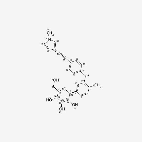 Cc1ccc([C@@H]2O[C@H](CO)[C@@H](O)[C@H](O)[C@H]2O)cc1Cc1ccc(C#Cc2cnn(C)c2)cc1